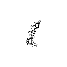 Cc1ccc(SCC(C)(C)COc2cccc(C(C)C)n2)c(C)c1